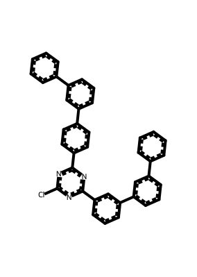 Clc1nc(-c2ccc(-c3cccc(-c4ccccc4)c3)cc2)nc(-c2cccc(-c3cccc(-c4ccccc4)c3)c2)n1